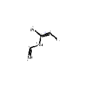 CC(C)/C(=C/I)NC=N